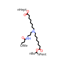 CCCCCCCOC(=O)CCCCCCCN(CCCCCCCC(=O)OC(CCCC)CCCCC)CCCNC(=O)CCOC